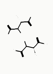 NC(=O)C(O)[C@H](N)C(=O)O.N[C@H](C(=O)O)C(O)C(=O)O